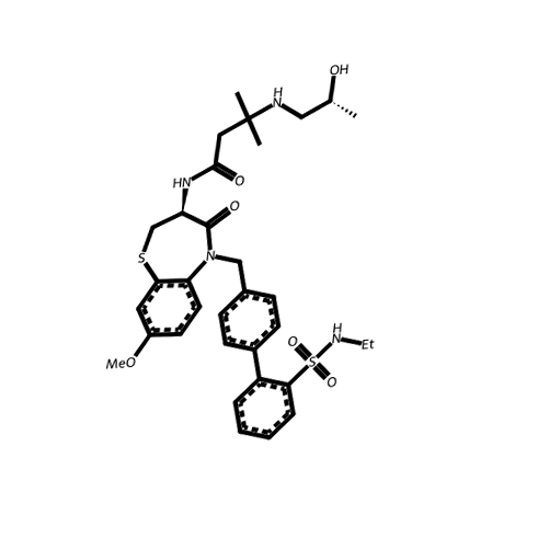 CCNS(=O)(=O)c1ccccc1-c1ccc(CN2C(=O)[C@H](NC(=O)CC(C)(C)NC[C@@H](C)O)CSc3cc(OC)ccc32)cc1